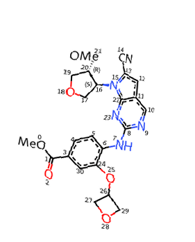 COC(=O)c1ccc(Nc2ncc3cc(C#N)n([C@H]4COC[C@@H]4OC)c3n2)c(OC2COC2)c1